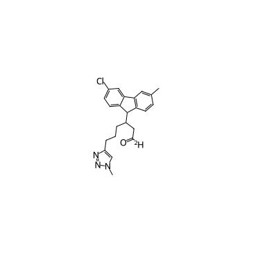 [2H]C(=O)CC(CCCc1cn(C)nn1)C1c2ccc(C)cc2-c2cc(Cl)ccc21